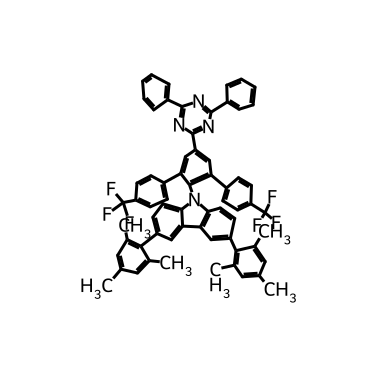 Cc1cc(C)c(-c2ccc3c(c2)c2cc(-c4c(C)cc(C)cc4C)ccc2n3-c2c(-c3ccc(C(F)(F)F)cc3)cc(-c3nc(-c4ccccc4)nc(-c4ccccc4)n3)cc2-c2ccc(C(F)(F)F)cc2)c(C)c1